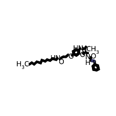 CCCCCCCCCCCCNC(=O)CCCOc1ccc(NN(CC)C(=O)CNC(=O)/C=C/c2ccccc2)cc1